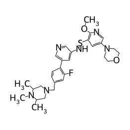 COc1ncc(N2CCOCC2)cc1SNc1cncc(-c2ccc(CN3CC(C)N(C)C(C)C3)cc2F)c1